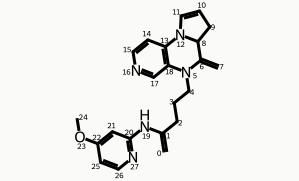 C=C(CCCN1C(=C)C2CC=CN2c2ccncc21)Nc1cc(OC)ccn1